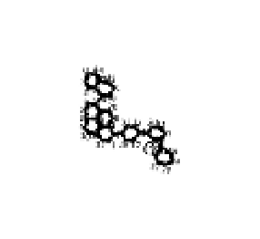 c1ccc2c(-c3ccc4ccc5ccc(-c6ccc(-c7cccc8c7oc7ccccc78)cc6)c6ccc3c4c56)cccc2c1